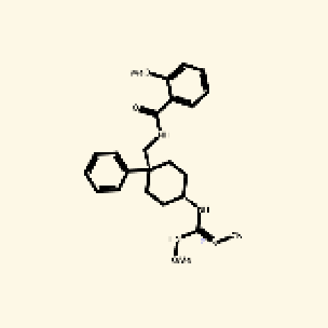 CON/C(=N/C#N)N[C@H]1CC[C@](CNC(=O)c2ccccc2OC)(c2ccccc2)CC1